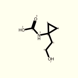 O=C(O)NC1(CCO)CC1